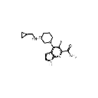 NC(=O)c1nc2[nH]c[c]c2c(N2CCC[C@@H](NCC3CC3)C2)c1Br